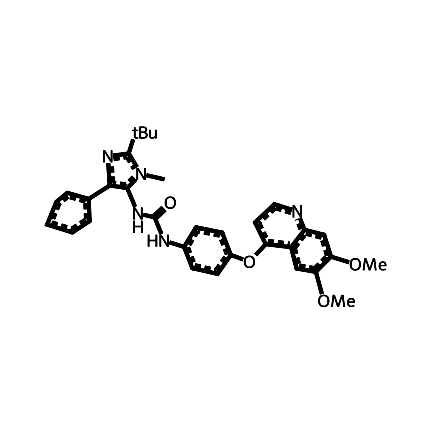 COc1cc2nccc(Oc3ccc(NC(=O)Nc4c(-c5ccccc5)nc(C(C)(C)C)n4C)cc3)c2cc1OC